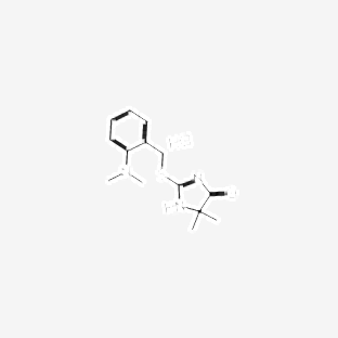 CN(C)c1ccccc1CSC1=NC(=O)C(C)(C)N1.Cl